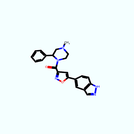 CN1CCN(C(=O)c2cc(-c3ccc4[nH]ncc4c3)on2)C(c2ccccc2)C1